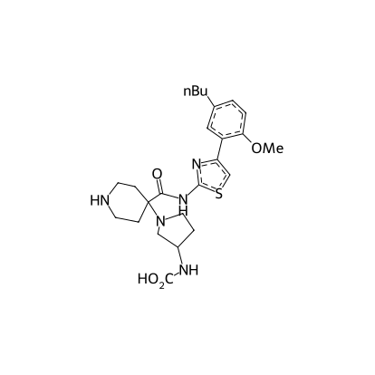 CCCCc1ccc(OC)c(-c2csc(NC(=O)C3(N4CCC(NC(=O)O)C4)CCNCC3)n2)c1